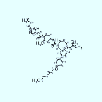 CCCCOCCOc1ccc(-c2ccc3c(c2)C=C(C(=O)Nc2ccc([S+]([O-])Cc4cnc(CCC)[nH]4)c(C)c2)CCCN3CC(C)C)cc1